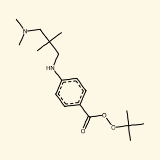 CN(C)CC(C)(C)CNc1ccc(C(=O)OOC(C)(C)C)cc1